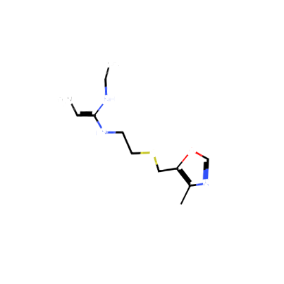 Cc1ncoc1CSCCNC(=C[N+](=O)[O-])NCC(F)(F)F